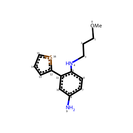 COCCCNc1ccc(N)cc1-c1cccs1